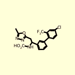 Cc1nnc(CC(NC(=O)O)c2cccc(-c3ccc(Cl)cc3C(F)(F)F)c2)o1